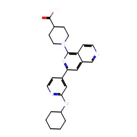 O=C(O)C1CCN(c2nc(-c3ccnc(NC4CCCCC4)c3)cc3cnccc23)CC1